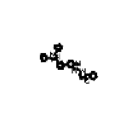 c1ccc(-c2cc(-c3cccc(-c4ccc5ncc(-c6ccc7oc8ccccc8c7n6)nc5c4)c3)nc(-c3ccccc3)n2)cc1